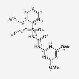 COc1cc(OC)nc(NC(=O)NS(=O)(=O)c2ncccc2C(CF)OC(C)=O)n1